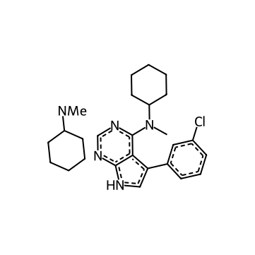 CN(c1ncnc2[nH]cc(-c3cccc(Cl)c3)c12)C1CCCCC1.CNC1CCCCC1